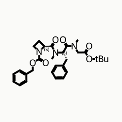 CN(CC(=O)OC(C)(C)C)C(=O)[C@H](Cc1ccccc1)N(C)C(=O)[C@@H]1CCN1C(=O)OCc1ccccc1